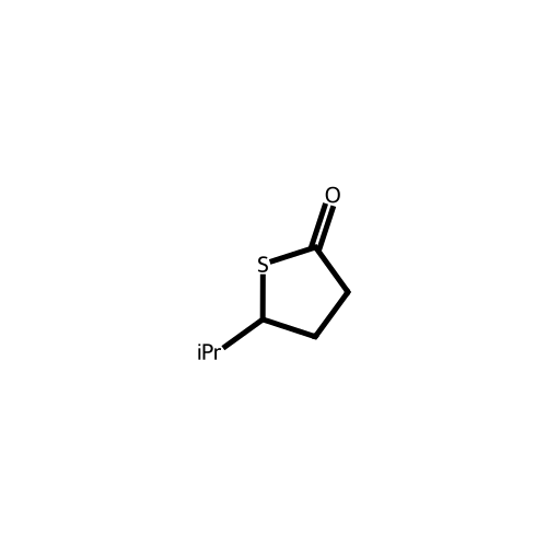 CC(C)C1CCC(=O)S1